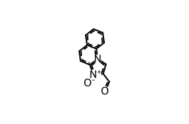 O=Cc1cn2c3ccccc3ccc2[n+]1[O-]